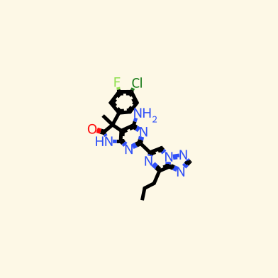 CCCc1nc(-c2nc(N)c3c(n2)NC(=O)C3(C)c2ccc(Cl)c(F)c2)cn2ncnc12